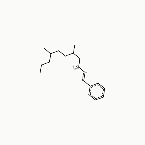 CCCC(C)CCC(C)C[SiH2][C]=Cc1cc[c]cc1